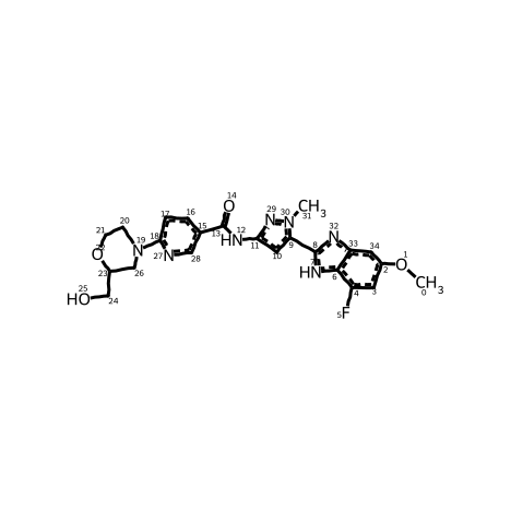 COc1cc(F)c2[nH]c(-c3cc(NC(=O)c4ccc(N5CCOC(CO)C5)nc4)nn3C)nc2c1